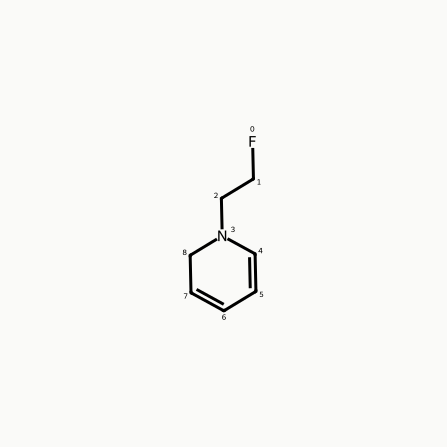 FCCN1C=CC=CC1